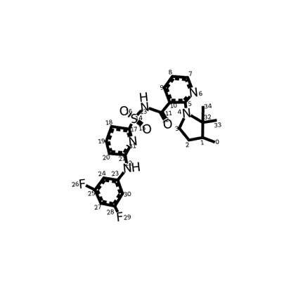 CC1CCN(c2ncccc2C(=O)NS(=O)(=O)c2cccc(Nc3cc(F)cc(F)c3)n2)C1(C)C